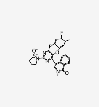 CC1C=C(Oc2cnc(N3CCC[S+]3[O-])nc2-c2cn(C)c(=O)c3ccccc23)C(F)=CC1F